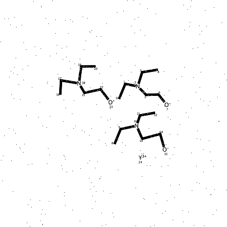 CCN(CC)CC[O-].CCN(CC)CC[O-].CCN(CC)CC[O-].[Y+3]